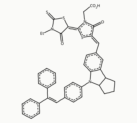 CCN1C(=O)/C(=c2\s/c(=C\c3ccc4c(c3)C3CCCC3N4c3ccc(C=C(c4ccccc4)c4ccccc4)cc3)c(=O)n2CC(=O)O)SC1=S